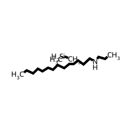 CCCCCCCCCCCCCCNCCC.C[SiH2]C